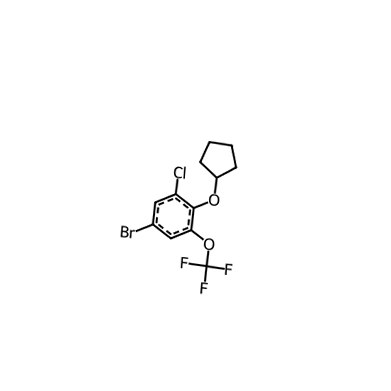 FC(F)(F)Oc1cc(Br)cc(Cl)c1OC1CCCC1